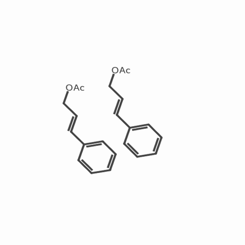 CC(=O)OCC=Cc1ccccc1.CC(=O)OCC=Cc1ccccc1